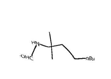 CCCCCCC(C)(C)N[C]=O